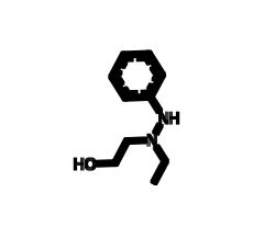 CCN(CCO)Nc1ccccc1